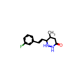 CC1CC(=O)NNC1/C=C/c1cccc(F)c1